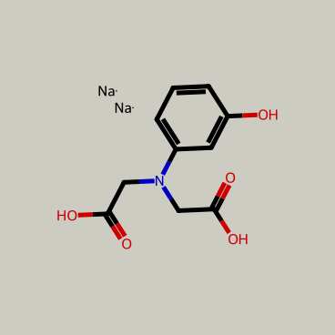 O=C(O)CN(CC(=O)O)c1cccc(O)c1.[Na].[Na]